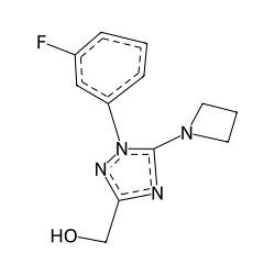 OCc1nc(N2CCC2)n(-c2cccc(F)c2)n1